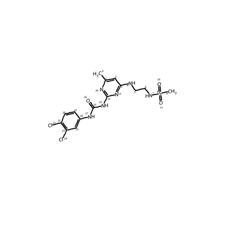 Cc1cc(NCCNS(C)(=O)=O)nc(NC(=O)Nc2ccc(Cl)c(Cl)c2)n1